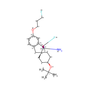 BC(B)(B)O[C@H]1CC[C@@]2(CC1)Cc1ccc(OCCCF)cc1C21C=C(F)C(N)=N1